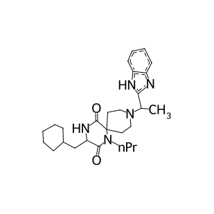 CCCN1C(=O)C(CC2CCCCC2)NC(=O)C12CCN(C(C)c1nc3ccccc3[nH]1)CC2